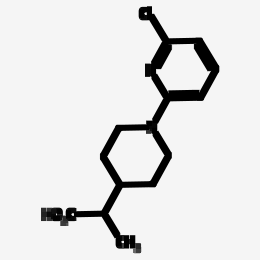 CC(C(=O)O)C1CCN(c2cccc(Cl)n2)CC1